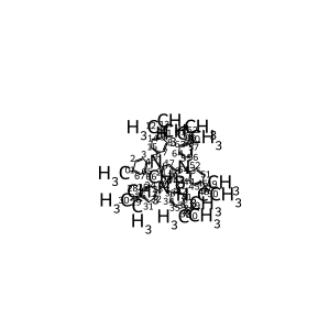 Cc1ccc(N(c2ccc(C(C)(C)C)cc2)c2cc3c4c(c2)N(c2ccc(C(C)(C)C)cc2)c2ccc(C(C)(C)C)cc2B4c2cc(C(C)(C)C)ccc2N3c2ccc(C(C)(C)C)cc2)c(C)c1